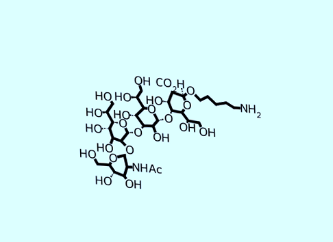 CC(=O)NC1C(O)[C@H](O)C(CO)O[C@@H]1OC1C(O)[C@H](O)[C@H]([C@@H](O)CO)O[C@@H]1O[C@@H]1C(O)[C@@H](O[C@H]2C([C@H](O)CO)O[C@@](OCCCCCN)(C(=O)O)C[C@H]2O)OC([C@@H](O)CO)[C@H]1O